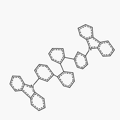 c1cc(-c2ccccc2-c2ccccc2-c2cccc(-n3c4ccccc4c4ccccc43)c2)cc(-n2c3ccccc3c3ccccc32)c1